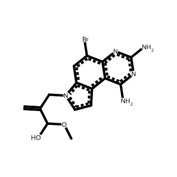 C=C(Cn1ccc2c3c(N)nc(N)nc3c(Br)cc21)C(O)OC